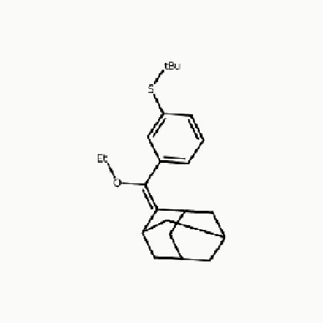 CCOC(=C1C2CC3CC(C2)CC1C3)c1cccc(SC(C)(C)C)c1